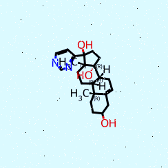 C[C@]12CCC(O)CC1=CC[C@@H]1[C@H]2CC[C@]2(C)C(O)(c3ccncn3)CC[C@@]12O